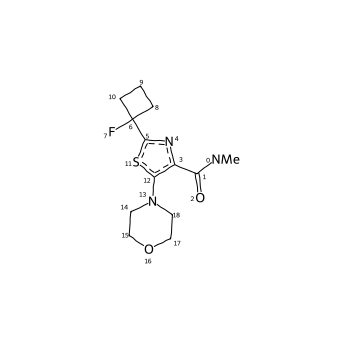 CNC(=O)c1nc(C2(F)CCC2)sc1N1CCOCC1